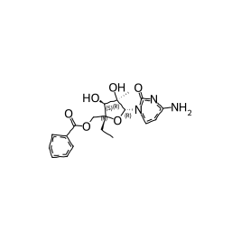 CC[C@]1(COC(=O)c2ccccc2)O[C@@H](n2ccc(N)nc2=O)[C@](C)(O)[C@@H]1O